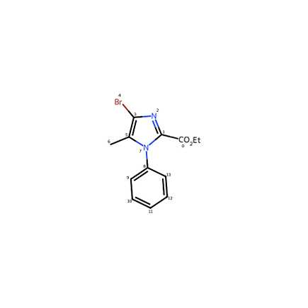 CCOC(=O)c1nc(Br)c(C)n1-c1ccccc1